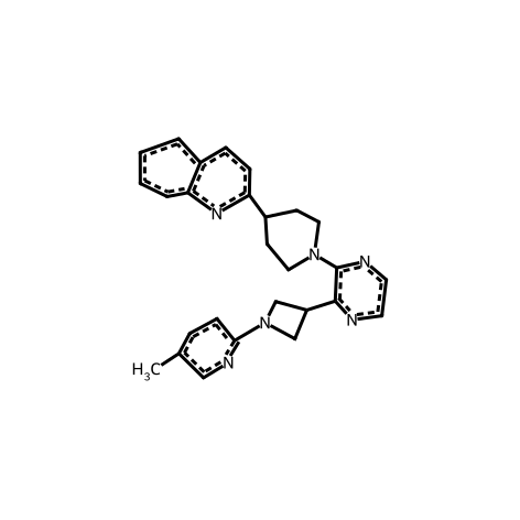 Cc1ccc(N2CC(c3nccnc3N3CCC(c4ccc5ccccc5n4)CC3)C2)nc1